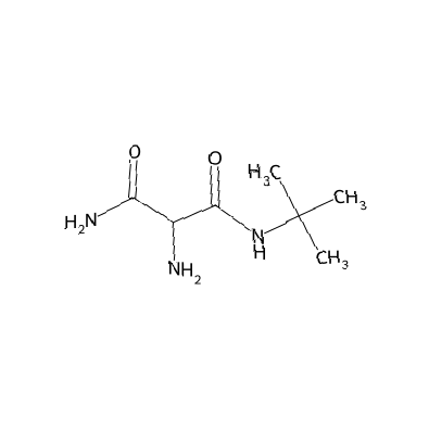 CC(C)(C)NC(=O)C(N)C(N)=O